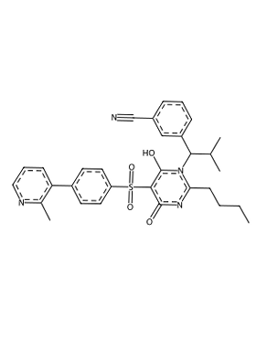 CCCCc1nc(=O)c(S(=O)(=O)c2ccc(-c3cccnc3C)cc2)c(O)n1C(c1cccc(C#N)c1)C(C)C